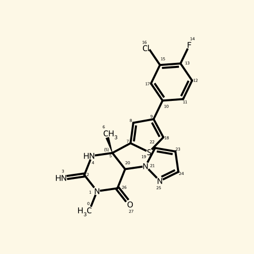 CN1C(=N)N[C@](C)(c2cc(-c3ccc(F)c(Cl)c3)cs2)C(n2cccn2)C1=O